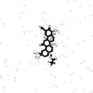 C[C@@H]1C(=O)C(C#N)=CC2[C@H]1CC[C@]1(C)[C@@H]2CC(=O)C2C3CC(C)(C)CC[C@]3(COC(=O)C(F)(F)F)CC[C@]21C